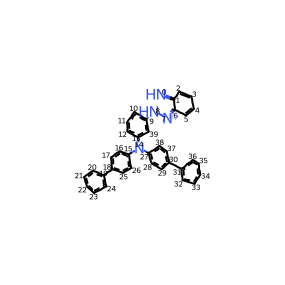 N=C1C=CC=C/C1=N/Nc1cccc(N(c2ccc(-c3ccccc3)cc2)c2ccc(-c3ccccc3)cc2)c1